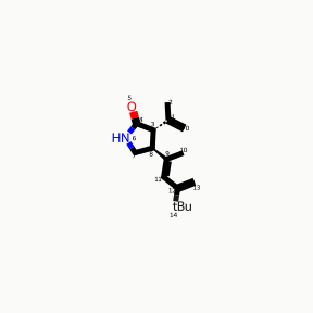 C=C(C)[C@H]1C(=O)NC[C@@H]1/C(C)=C/C(=C)C(C)(C)C